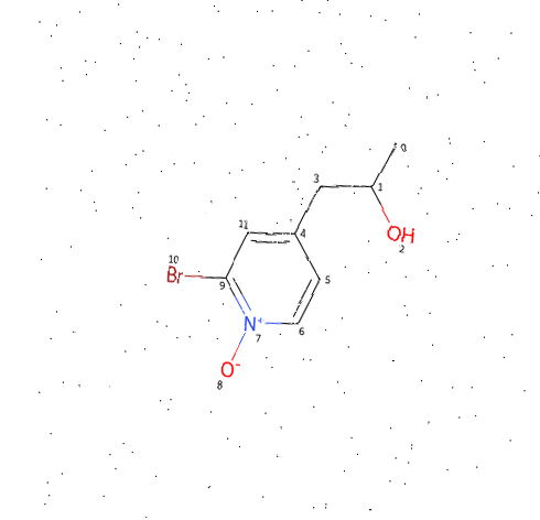 CC(O)Cc1cc[n+]([O-])c(Br)c1